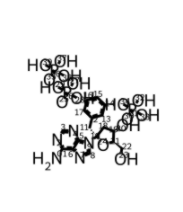 Nc1ncnc2c1ncn2[C@@]1(Cc2ccccc2)C[C@H](O)[C@@H](CO)O1.O=P(O)(O)O.O=P(O)(O)O.O=P(O)(O)O